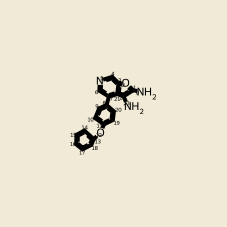 Nc1oc2cncc(-c3ccc(Oc4ccccc4)cc3)c2c1N